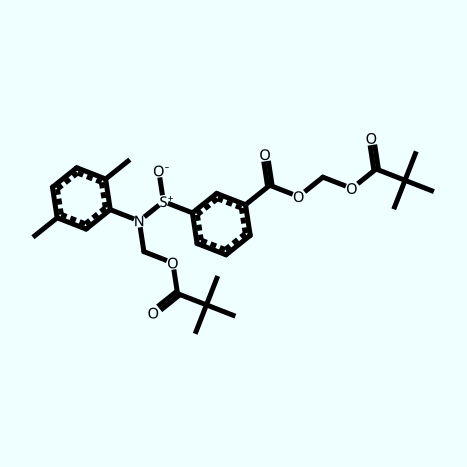 Cc1ccc(C)c(N(COC(=O)C(C)(C)C)[S+]([O-])c2cccc(C(=O)OCOC(=O)C(C)(C)C)c2)c1